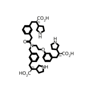 O=C(O)[C@@H](Cc1cccc(CC(=O)N(CCOc2cccc(C[C@H](C(=O)O)C3CCNC3)c2)Cc2cccc(C[C@H](C(=O)O)C3CCNC3)c2)c1)C1CCNC1